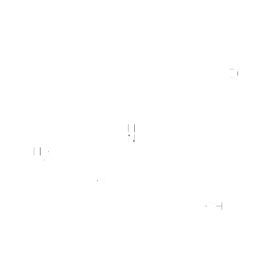 C=CC(=O)NCc1cc(CC)ccc1O